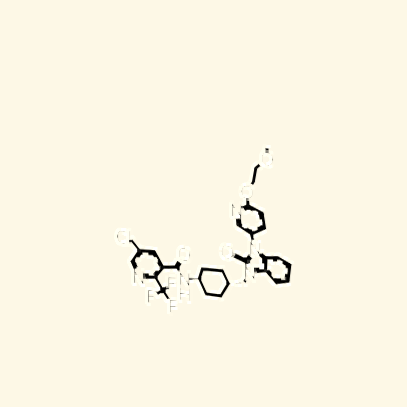 COCCOc1ccc(-n2c(=O)n(C[C@H]3CC[C@H](NC(=O)c4cc(Cl)cnc4C(F)(F)F)CC3)c3ccccc32)cn1